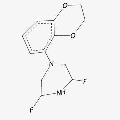 FC1CN(c2cccc3c2OCCO3)CC(F)N1